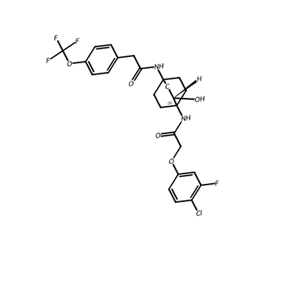 O=C(Cc1ccc(OC(F)(F)F)cc1)NC12CCC(NC(=O)COc3ccc(Cl)c(F)c3)(CC1)[C@@H](O)C2